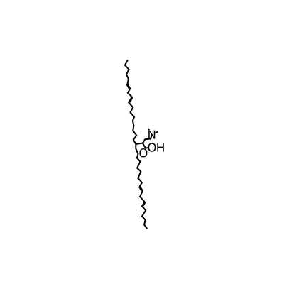 CCCCCC=CCC=CCCCCCCCCC(CCCCCCCCC=CCC=CCCCCC)C(CCN(C)C)C(=O)O